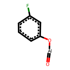 [O]=[Al][O]c1cccc(F)c1